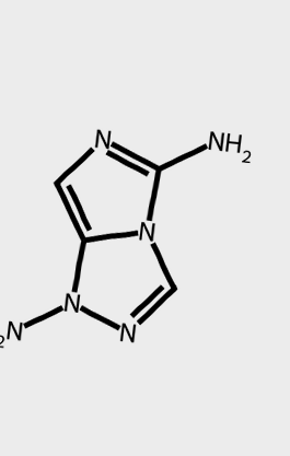 Nc1ncc2n(N)ncn12